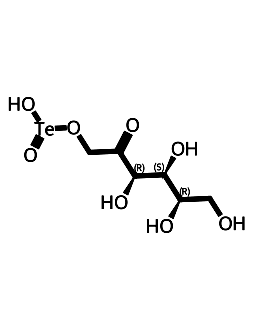 O=C(CO[Te](=O)O)[C@H](O)[C@@H](O)[C@H](O)CO